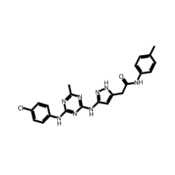 Cc1ccc(NC(=O)Cc2cc(Nc3nc(C)nc(Nc4ccc(Cl)cc4)n3)n[nH]2)cc1